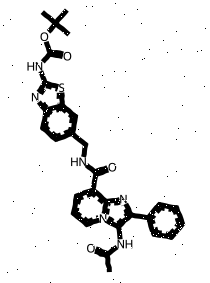 CC(=O)Nc1c(-c2ccccc2)nc2c(C(=O)NCc3ccc4nc(NC(=O)OC(C)(C)C)sc4c3)cccn12